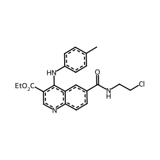 CCOC(=O)c1cnc2ccc(C(=O)NCCCl)cc2c1Nc1ccc(C)cc1